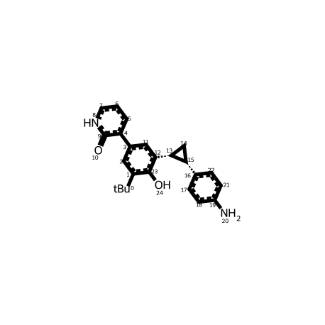 CC(C)(C)c1cc(-c2ccc[nH]c2=O)cc([C@@H]2C[C@@H]2c2ccc(N)cc2)c1O